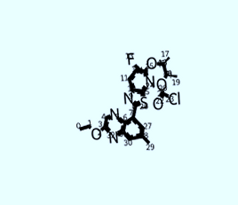 CCOc1cnc2c(-c3nc4cc(F)c(O[C@@H](C)[C@@H](C)OC(=O)Cl)nc4s3)cc(C)cc2n1